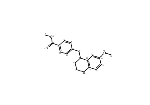 COC(=O)c1ccc(CC2CCCc3ccc(OC)cc32)cc1